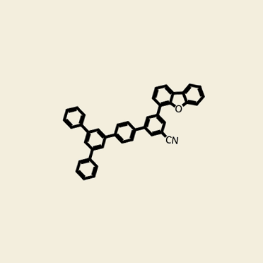 N#Cc1cc(-c2ccc(-c3cc(-c4ccccc4)cc(-c4ccccc4)c3)cc2)cc(-c2cccc3c2oc2ccccc23)c1